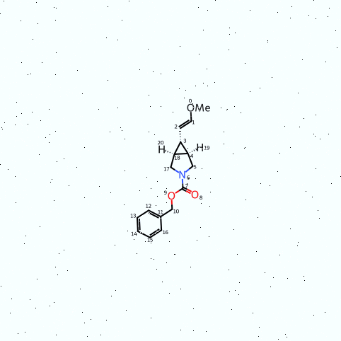 COC=C[C@@H]1[C@H]2CN(C(=O)OCc3ccccc3)C[C@@H]12